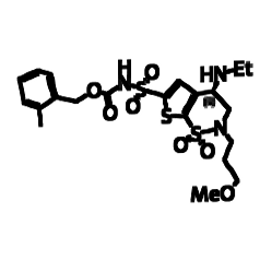 CCN[C@H]1CN(CCCOC)S(=O)(=O)c2sc(S(=O)(=O)NC(=O)OCc3ccccc3C)cc21